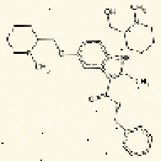 CN1CCCCC1CO.Cc1[nH]c2ccc(OCC3CCCCN3C)cc2c1C(=O)OCc1ccccc1